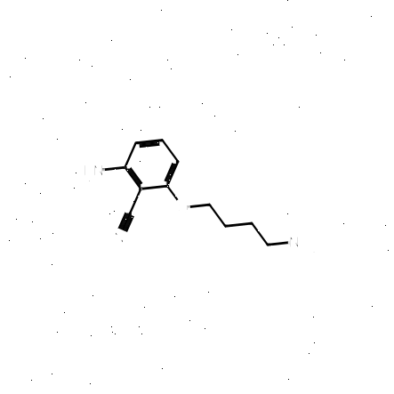 N#Cc1c(N)cccc1OCCCCN